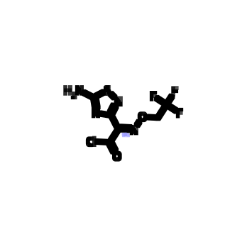 Nc1nc(/C(=N\OCC(F)(F)F)C(=O)Cl)ns1